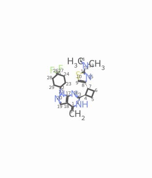 C=C1NC([C@@H]2CC[C@H]2c2csc(N(C)C)n2)=Nc2c1cnn2C1CCC(F)(F)CC1